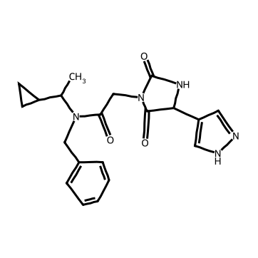 CC(C1CC1)N(Cc1ccccc1)C(=O)CN1C(=O)NC(c2cn[nH]c2)C1=O